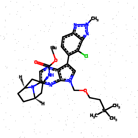 Cn1nc2ccc(-c3cn(COCC[Si](C)(C)C)c4nc(N5[C@@H]6CC[C@H]5C[C@@H](NC(=O)OC(C)(C)C)C6)cnc34)c(Cl)c2n1